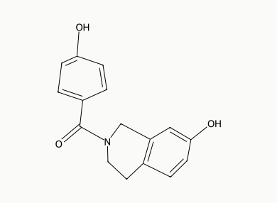 O=C(c1ccc(O)cc1)N1CCc2ccc(O)cc2C1